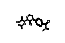 CC(=O)O[C@@H](C(=O)O)[C@H]1OCCN(c2ccc(C(=O)N(C)C)cc2)C1=O